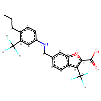 CCCc1ccc(NCc2ccc3c(C(F)(F)F)c(C(=O)O)oc3c2)cc1C(F)(F)F